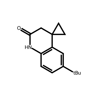 CC(C)(C)c1ccc2c(c1)C1(CC1)CC(=O)N2